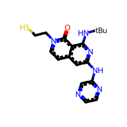 CC(C)(C)Nc1nc(Nc2cnccn2)cc2ccn(CCS)c(=O)c12